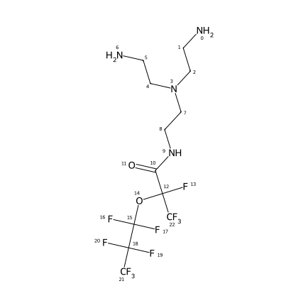 NCCN(CCN)CCNC(=O)C(F)(OC(F)(F)C(F)(F)C(F)(F)F)C(F)(F)F